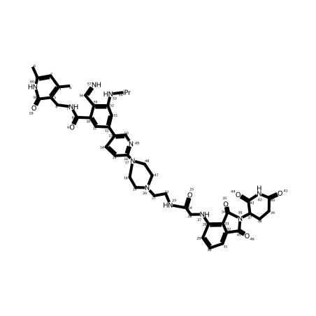 Cc1cc(C)c(CNC(=O)c2cc(-c3ccc(N4CCN(CCNC(=O)CNc5cccc6c5C(=O)N(C5CCC(=O)NC5=O)C6=O)CC4)nc3)cc(NC(C)C)c2C=N)c(=O)[nH]1